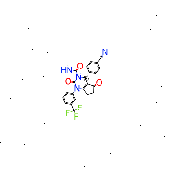 CNC(=O)N1C(=O)N(c2cccc(C(F)(F)F)c2)C2=C(C(=O)CC2)[C@H]1c1ccc(C#N)cc1